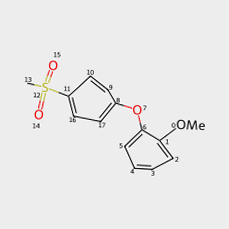 COc1ccccc1Oc1ccc(S(C)(=O)=O)cc1